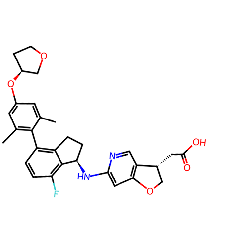 Cc1cc(O[C@H]2CCOC2)cc(C)c1-c1ccc(F)c2c1CC[C@H]2Nc1cc2c(cn1)[C@H](CC(=O)O)CO2